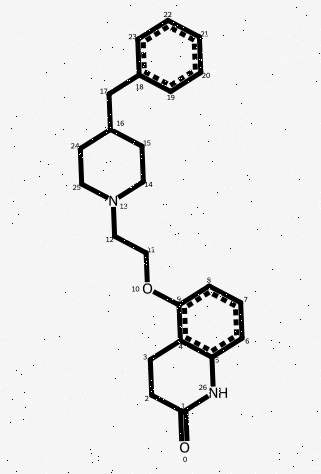 O=C1CCc2c(cccc2OCCN2CCC(Cc3ccccc3)CC2)N1